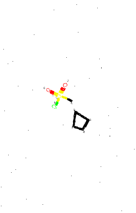 C1CCC1.CS(=O)(=O)Cl